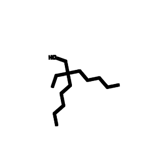 CCCCCC(CC)(CO)CCCCC